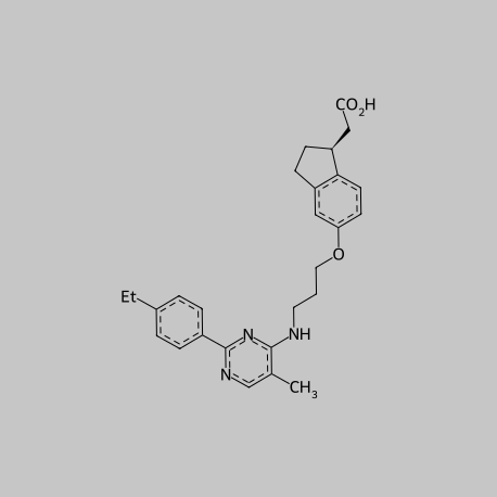 CCc1ccc(-c2ncc(C)c(NCCCOc3ccc4c(c3)CC[C@H]4CC(=O)O)n2)cc1